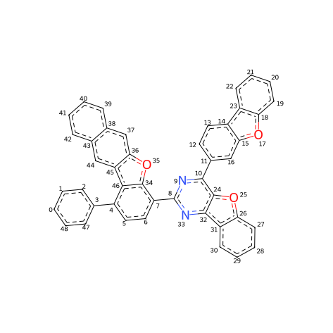 c1ccc(-c2ccc(-c3nc(-c4ccc5c(c4)oc4ccccc45)c4oc5ccccc5c4n3)c3oc4cc5ccccc5cc4c23)cc1